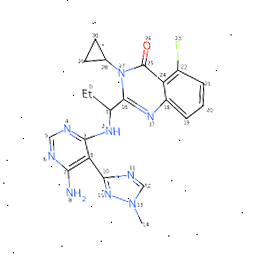 CCC(Nc1ncnc(N)c1-c1ncn(C)n1)c1nc2cccc(F)c2c(=O)n1C1CC1